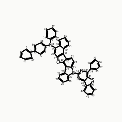 c1ccc(-c2ccc(N(c3ccccc3)c3cc4oc5c(ccc6c5c5ccccc5n6-c5nc(-c6ccccc6)c6sc7ccccc7c6n5)c4c4ccccc34)cc2)cc1